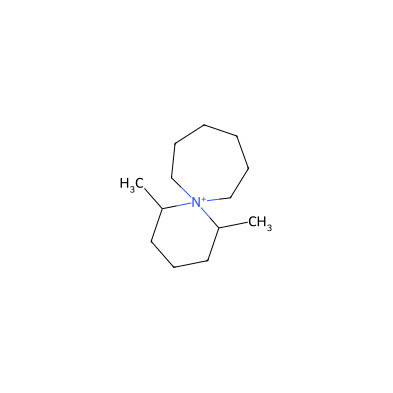 CC1CCCC(C)[N+]12CCCCCC2